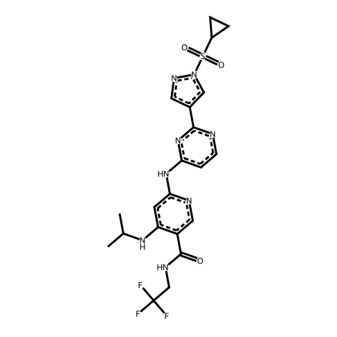 CC(C)Nc1cc(Nc2ccnc(-c3cnn(S(=O)(=O)C4CC4)c3)n2)ncc1C(=O)NCC(F)(F)F